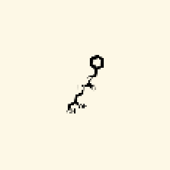 O=C(NCCC(O)CO)OCc1ccccc1